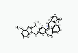 CCc1nc2c(C)ccnc2n1Cc1ccc2c(c1)OCc1ccccc1/C2=C\c1noc(=O)[nH]1